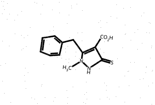 Cn1[nH]c(=S)c(C(=O)O)c1Cc1ccccc1